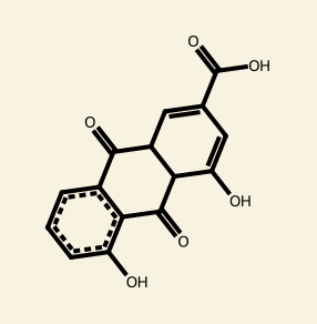 O=C(O)C1=CC2C(=O)c3cccc(O)c3C(=O)C2C(O)=C1